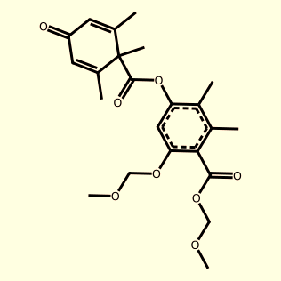 COCOC(=O)c1c(OCOC)cc(OC(=O)C2(C)C(C)=CC(=O)C=C2C)c(C)c1C